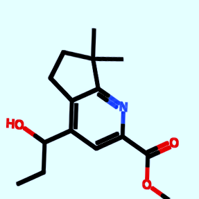 CCC(O)c1cc(C(=O)OC)nc2c1CCC2(C)C